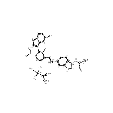 CCOc1nc2ccc(F)cc2n1-c1cccc(CNc2ccc3c(c2)OC[C@H]3CC(=O)O)c1C.O=C(O)C(F)(F)F